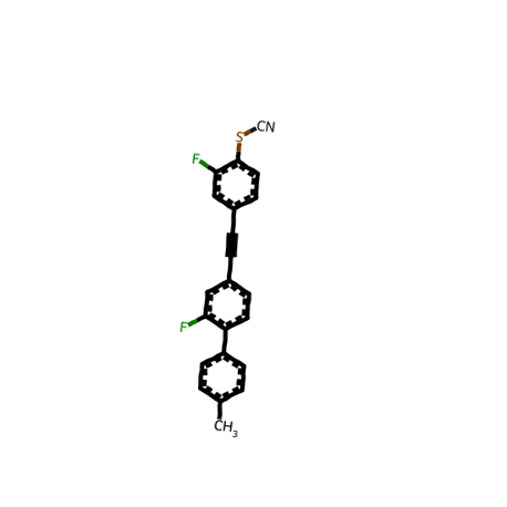 Cc1ccc(-c2ccc(C#Cc3ccc(SC#N)c(F)c3)cc2F)cc1